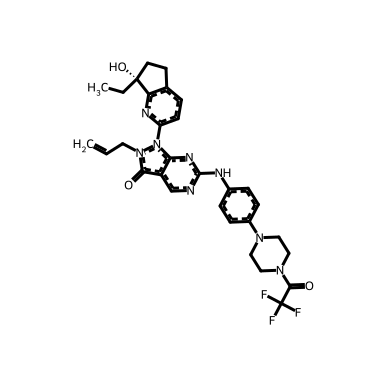 C=CCn1c(=O)c2cnc(Nc3ccc(N4CCN(C(=O)C(F)(F)F)CC4)cc3)nc2n1-c1ccc2c(n1)[C@@](O)(CC)CC2